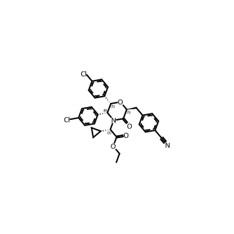 CCOC(=O)[C@H](C1CC1)N1C(=O)[C@H](Cc2ccc(C#N)cc2)O[C@@H](c2ccc(Cl)cc2)[C@H]1c1ccc(Cl)cc1